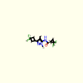 Cc1c(C2CC(F)(F)C2)nn(C)c1NC(=O)[C@H]1CC1(F)F